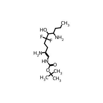 CCCC(N)C(O)C(F)(F)CCC(N)=CNC(=O)OC(C)(C)C